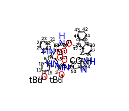 CC(C)(C)OC[C@H](NC(=O)[C@H](Cc1ccc(OC(C)(C)C)cc1)NC(=O)[C@H](Cc1ccccc1)NC(=O)OCC1c2ccccc2-c2ccccc21)C(=O)N[C@@H](Cc1c[nH]cn1)C(=O)O